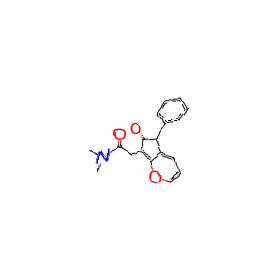 CN(C)C(=O)CC1=C2OC=CC=C2C(c2ccccc2)C1=O